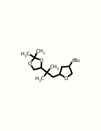 CC1(C)OCC(C(C)(C)CC2CC(C(C)(C)C)CO2)O1